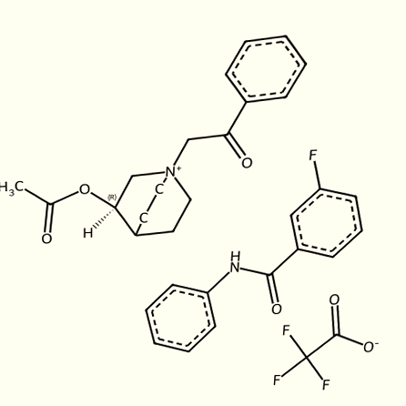 CC(=O)O[C@H]1C[N+]2(CC(=O)c3ccccc3)CCC1CC2.O=C(Nc1ccccc1)c1cccc(F)c1.O=C([O-])C(F)(F)F